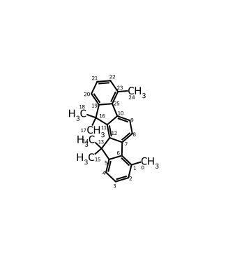 Cc1cccc2c1-c1ccc3c(c1C2(C)C)C(C)(C)c1cccc(C)c1-3